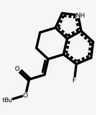 CC(C)(C)OC(=O)/C=C1\CCc2c[nH]c3ccc(F)c1c23